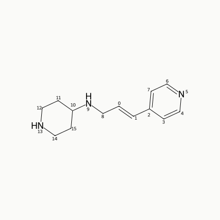 C(=Cc1ccncc1)CNC1CCNCC1